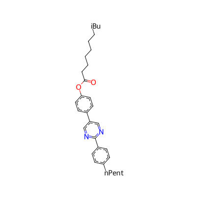 CCCCCc1ccc(-c2ncc(-c3ccc(OC(=O)CCCCCCC(C)CC)cc3)cn2)cc1